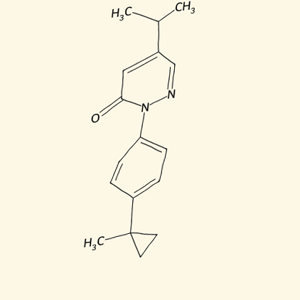 CC(C)c1cnn(-c2ccc(C3(C)CC3)cc2)c(=O)c1